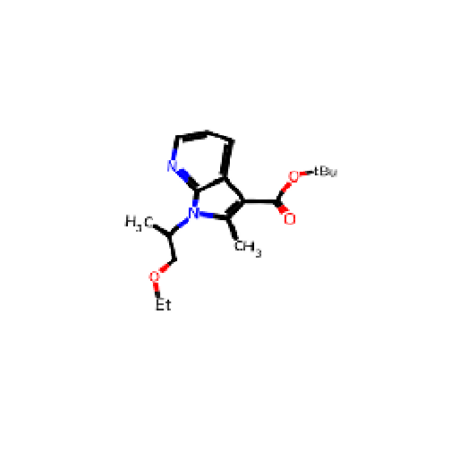 CCOCC(C)n1c(C)c(C(=O)OC(C)(C)C)c2cccnc21